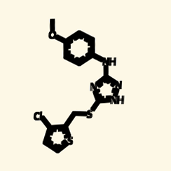 COc1ccc(Nc2n[nH]c(SCc3sccc3Cl)n2)cc1